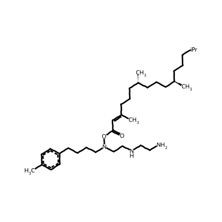 C/C(=C\C(=O)ON(CCCCc1ccc(C)cc1)CCNCCN)CCC[C@H](C)CCC[C@H](C)CCCC(C)C